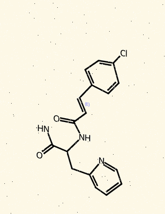 [NH]C(=O)C(Cc1ccccn1)NC(=O)/C=C/c1ccc(Cl)cc1